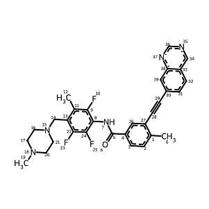 Cc1ccc(C(=O)Nc2c(F)c(C)c(CN3CCN(C)CC3)c(F)c2F)cc1C#Cc1ccc2cncnc2c1